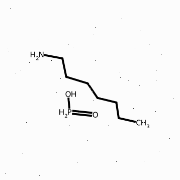 CCCCCCCN.O=[PH2]O